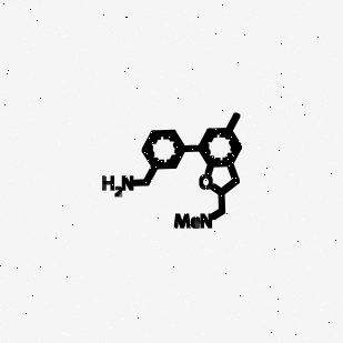 CNCC1Cc2cc(C)cc(-c3cccc(CN)c3)c2O1